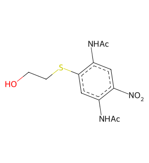 CC(=O)Nc1cc([N+](=O)[O-])c(NC(C)=O)cc1SCCO